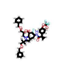 CC1C(F)=C(NC(=O)C2(c3ccc4c(c3)OC(F)(F)O4)CC2)C=C2C=C(C(C)(C)COCc3ccccc3)N(CC(O)COCc3ccccc3)C21